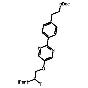 CCCCCCCCCCCCc1ccc(-c2ncc(OCC(F)C(C)CCC)cn2)cc1